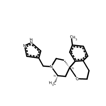 Cc1ccc2c(c1)[C@@]1(CCN(Cc3cn[nH]c3)[C@@H](C)C1)OCC2